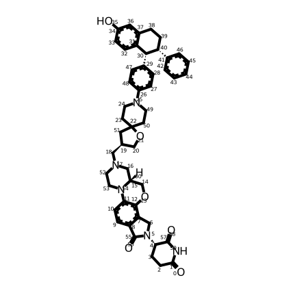 O=C1CC[C@H](N2Cc3c(ccc4c3OC[C@H]3CN(C[C@@H]5COC6(CCN(c7ccc([C@@H]8c9ccc(O)cc9CC[C@@H]8c8ccccc8)cc7)CC6)C5)CCN43)C2=O)C(=O)N1